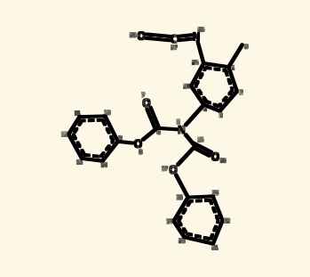 Cc1ccc(N(C(=O)Oc2ccccc2)C(=O)Oc2ccccc2)cc1N=C=O